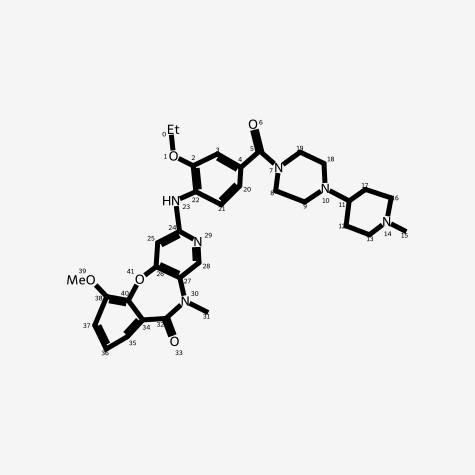 CCOc1cc(C(=O)N2CCN(C3CCN(C)CC3)CC2)ccc1Nc1cc2c(cn1)N(C)C(=O)c1cccc(OC)c1O2